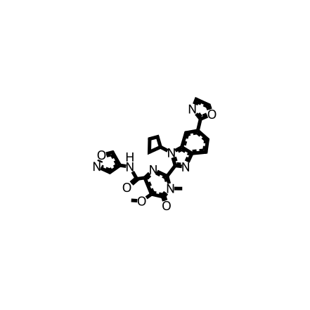 COc1c(C(=O)Nc2cnoc2)nc(-c2nc3ccc(-c4ncco4)cc3n2C2CCC2)n(C)c1=O